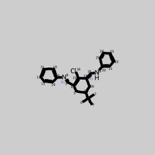 CC(C)(C)C1CC(/C=N/c2ccccc2)=C(Cl)C(=C/Nc2ccccc2)/C1